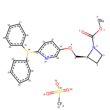 CC(C)(C)OC(=O)N1CC[C@H]1COc1ccc([S+](c2ccccc2)c2ccccc2)nc1.O=S(=O)([O-])C(F)(F)F